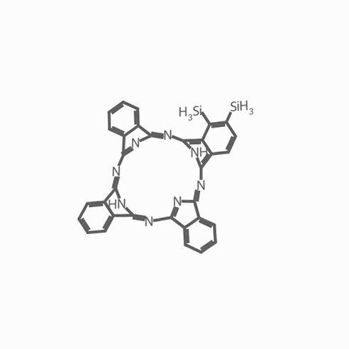 [SiH3]c1ccc2c3nc4nc(nc5[nH]c(nc6nc(nc([nH]3)c2c1[SiH3])-c1ccccc1-6)c1ccccc51)-c1ccccc1-4